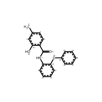 Cc1ccc(C(=O)Nc2ccccc2Oc2ccccc2)c(O)c1